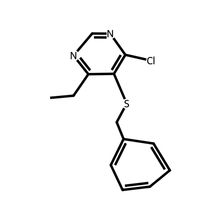 CCc1ncnc(Cl)c1SCc1ccccc1